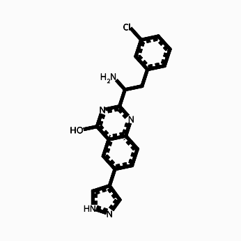 NC(Cc1cccc(Cl)c1)c1nc(O)c2cc(-c3cn[nH]c3)ccc2n1